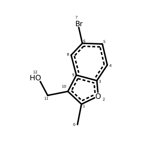 Cc1oc2ccc(Br)cc2c1CO